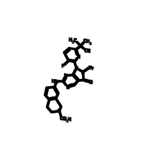 CC(C)n1c(=O)c2cnc(Nc3ccc4c(c3)CN(C(=O)O)CC4)nc2n1-c1nc(C(C)(C)C#N)ccc1F